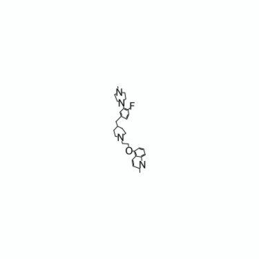 Cc1ccc2c(OCCN3CCC(Cc4ccc(F)c(N5CCN(C)CC5)c4)CC3)cccc2n1